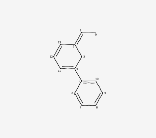 CC=C1[CH]C(c2[c]cccc2)=CC=C1